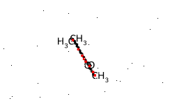 CCCCCCC(=O)OCCCCCCCCCCCCCCCC(C)C